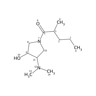 CCCC(C)C(=O)N1CC(O)C(N(C)C)C1